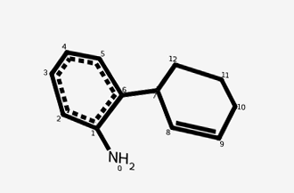 Nc1ccccc1[C]1C=CCCC1